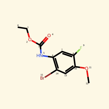 CCOC(=O)Nc1cc(F)c(OC)cc1Br